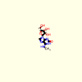 CNc1[nH]c(=O)nc2c1ncn2[C@@H]1O[C@H](CO)[C@@H](O)[C@H]1O